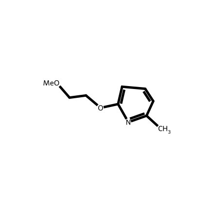 COCCOc1cccc(C)n1